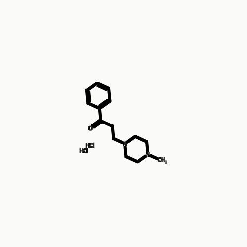 CN1CCN(CCC(=O)c2ccccc2)CC1.Cl.Cl